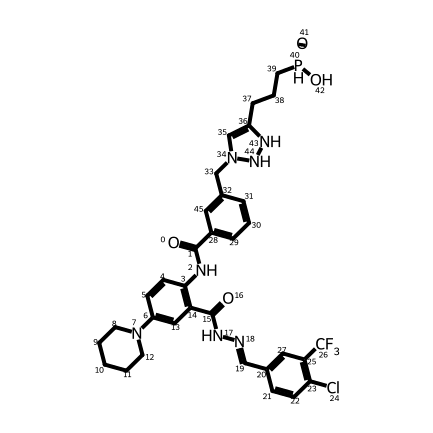 O=C(Nc1ccc(N2CCCCC2)cc1C(=O)N/N=C/c1ccc(Cl)c(C(F)(F)F)c1)c1cccc(CN2C=C(CCC[PH](=O)O)NN2)c1